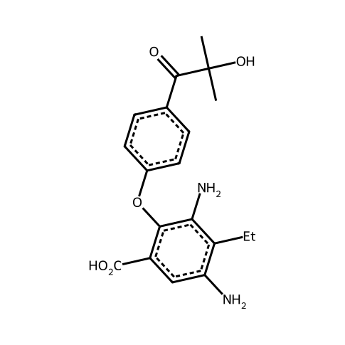 CCc1c(N)cc(C(=O)O)c(Oc2ccc(C(=O)C(C)(C)O)cc2)c1N